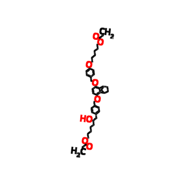 C=CC(=O)OCCCCCCOc1ccc(COc2ccc(OCc3ccc(CC(O)CCCCCOC(=O)C=C)cc3)c3c2C2CCC3C2)cc1